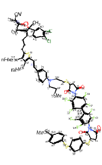 [C-]#[N+]C1=C(CCCCc2sc(/C=C/c3ccc(N(CCSC)CCSC4CC(=O)N(c5c(F)c(F)c(-c6c(F)c(F)c(N7C(=O)CC(Sc8ccc(Sc9ccc(SC)cc9)cc8)C7=O)c(F)c6F)c(F)c5F)C4=O)cc3)c(CCCCCC)c2CCCCCC)C(C)(c2ccc(Cl)c(Cl)c2)O/C1=C(\C#N)[N+]#[C-]